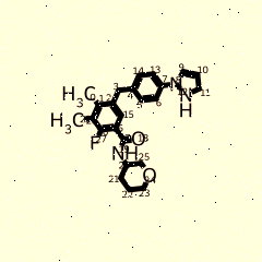 Cc1c(Cc2ccc(N3C=CCN3)cc2)cc(C(=O)NC2CCCOC2)c(F)c1C